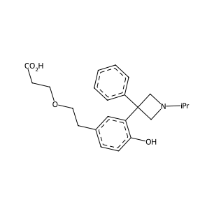 CC(C)N1CC(c2ccccc2)(c2cc(CCOCCC(=O)O)ccc2O)C1